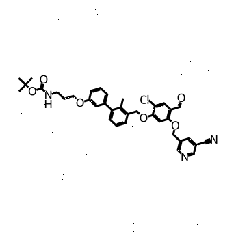 Cc1c(COc2cc(OCc3cncc(C#N)c3)c(C=O)cc2Cl)cccc1-c1cccc(OCCCNC(=O)OC(C)(C)C)c1